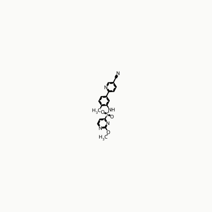 COc1nccc(S(=O)(=O)Nc2cc(-c3ccc(C#N)cn3)ccc2C)n1